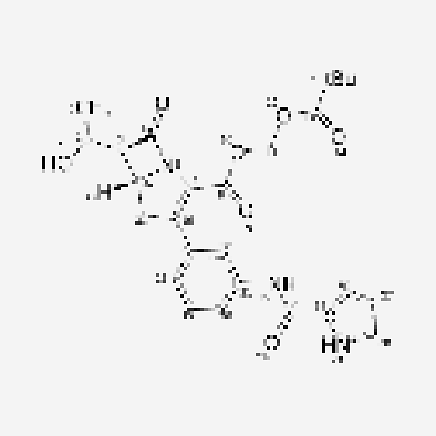 C[C@@H](O)[C@H]1C(=O)N2C(C(=O)OCOC(=O)C(C)(C)C)=C(c3cccc(NC(=O)c4ccc[nH]4)c3)C[C@H]12